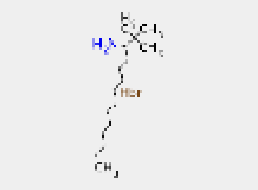 Br.CCCCCCCCCCCC(N)C(C)(C)C